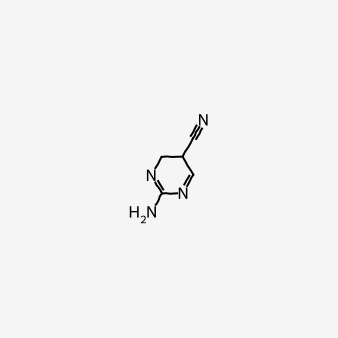 N#CC1C=NC(N)=NC1